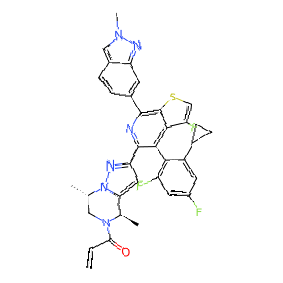 C=CC(=O)N1C[C@H](C)n2nc(-c3nc(-c4ccc5cn(C)nc5c4)c4scc(F)c4c3-c3c(F)cc(F)cc3C3CC3)cc2[C@H]1C